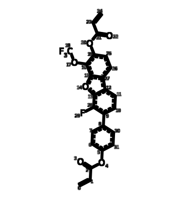 C=CC(=O)Oc1ccc(-c2ccc3c(oc4c(OC(F)(F)F)c(OC(=O)C=C)ccc43)c2F)cc1